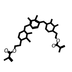 C=C(C)C(=O)OCCC1CCC(Cc2ccc(CC3CCC(CCOC(=O)C(=C)C)C(C)C3C)c(C)c2C)C(C)C1C